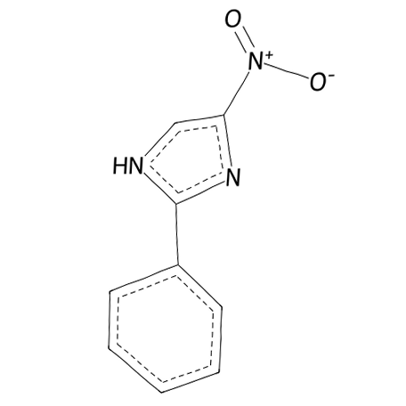 O=[N+]([O-])c1c[nH]c(-c2ccccc2)n1